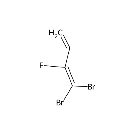 C=CC(F)=C(Br)Br